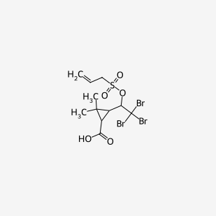 C=CCS(=O)(=O)OC(C1C(C(=O)O)C1(C)C)C(Br)(Br)Br